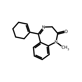 CN1C(=O)CN=C(C2=CCCCC2)c2ccccc21